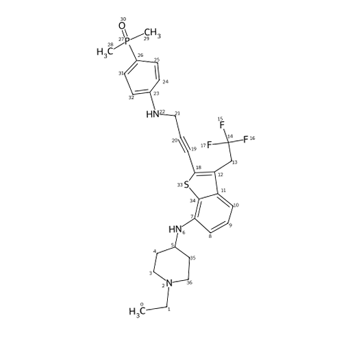 CCN1CCC(Nc2cccc3c(CC(F)(F)F)c(C#CCNc4ccc(P(C)(C)=O)cc4)sc23)CC1